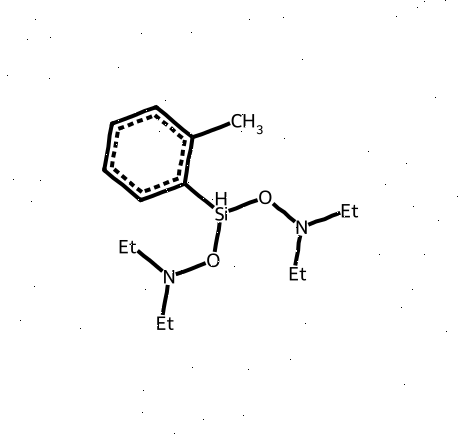 CCN(CC)O[SiH](ON(CC)CC)c1ccccc1C